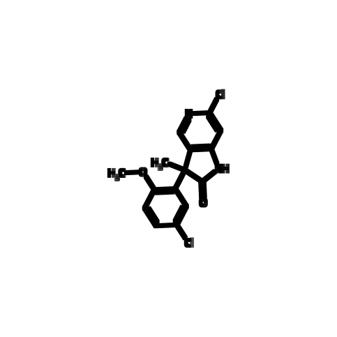 COc1ccc(Cl)cc1C1(C)C(=O)Nc2cc(Cl)ncc21